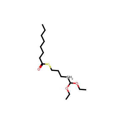 CCCCCCCC(=O)SCCC[SiH2]C(OCC)OCC